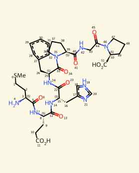 CSCC[C@H](N)C(=O)N[C@@H](CCC(=O)O)C(=O)N[C@@H](Cc1c[nH]cn1)C(=O)N[C@@H](Cc1ccccc1)C(=O)N1CCC[C@H]1C(=O)NCC(=O)N1CCC[C@H]1C(=O)O